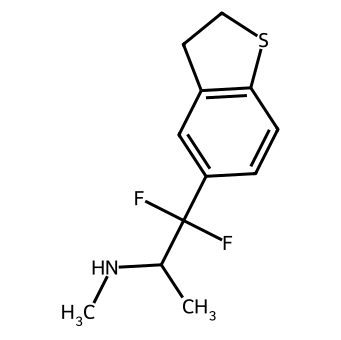 CNC(C)C(F)(F)c1ccc2c(c1)CCS2